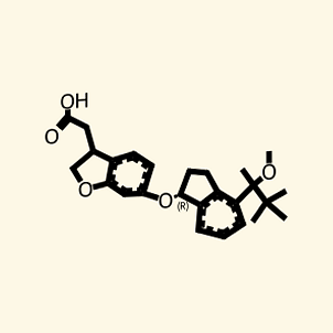 COC(C)(c1cccc2c1CC[C@H]2Oc1ccc2c(c1)OCC2CC(=O)O)C(C)(C)C